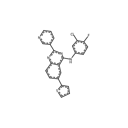 Fc1ccc(Nc2nc(-c3cccnc3)nc3ccc(-c4cccs4)cc23)cc1Cl